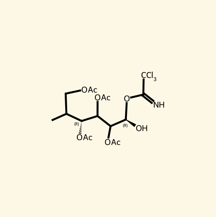 CC(=O)OCC(C)[C@@H](OC(C)=O)C(OC(C)=O)C(OC(C)=O)[C@H](O)OC(=N)C(Cl)(Cl)Cl